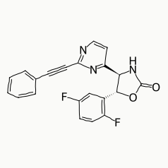 O=C1N[C@H](c2ccnc(C#Cc3ccccc3)n2)[C@@H](c2cc(F)ccc2F)O1